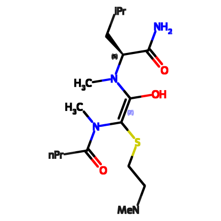 CCCC(=O)N(C)/C(SCCNC)=C(/O)N(C)[C@@H](CC(C)C)C(N)=O